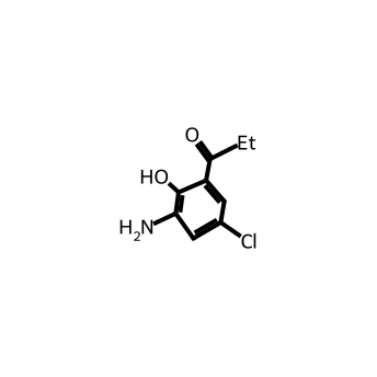 CCC(=O)c1cc(Cl)cc(N)c1O